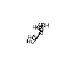 O=C(O)c1ccc(OCCCCC(O)CO)cc1O